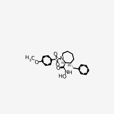 COc1ccc(S(=O)(=O)N2CCCC[C@H](Cc3ccccc3)[C@H]2C(=O)NO)cc1